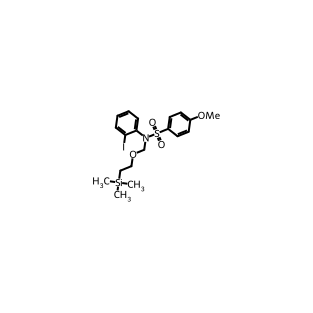 COc1ccc(S(=O)(=O)N(COCC[Si](C)(C)C)c2ccccc2I)cc1